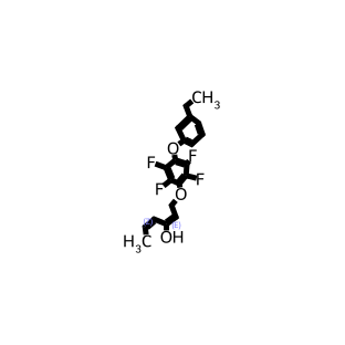 C/C=C\C(O)=C/COc1c(F)c(F)c(Oc2cccc(CC)c2)c(F)c1F